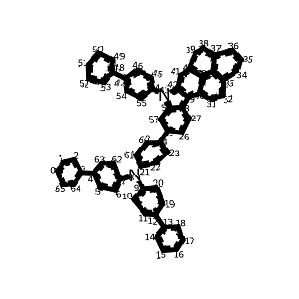 c1ccc(-c2ccc(N(c3ccc(-c4ccccc4)cc3)c3ccc(-c4ccc5c6c7ccc8cccc9ccc(cc6n(-c6ccc(-c%10ccccc%10)cc6)c5c4)c7c98)cc3)cc2)cc1